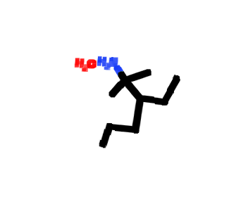 CCCC(CC)C(C)(C)N.O